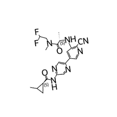 CC1C[C@@H]1C(=O)Nc1cnc(-c2cnc(C#N)c(N[C@@H](C)C(=O)N(C)CC(F)F)c2)cn1